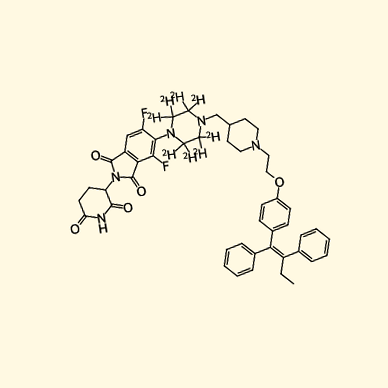 [2H]C1([2H])N(CC2CCN(CCOc3ccc(C(=C(CC)c4ccccc4)c4ccccc4)cc3)CC2)C([2H])([2H])C([2H])([2H])N(c2c(F)cc3c(c2F)C(=O)N(C2CCC(=O)NC2=O)C3=O)C1([2H])[2H]